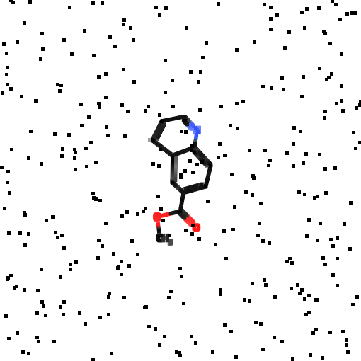 COC(=O)c1ccc2ncc[c]c2c1